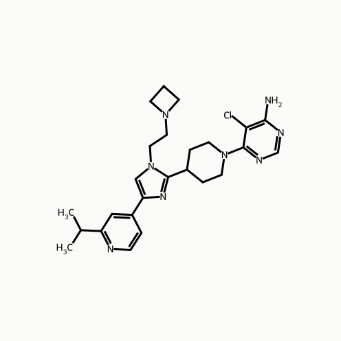 CC(C)c1cc(-c2cn(CCN3CCC3)c(C3CCN(c4ncnc(N)c4Cl)CC3)n2)ccn1